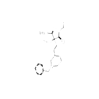 CCOC(=O)C(O)(CCC1CCCN(Cc2ccccc2)C1)C(=O)O